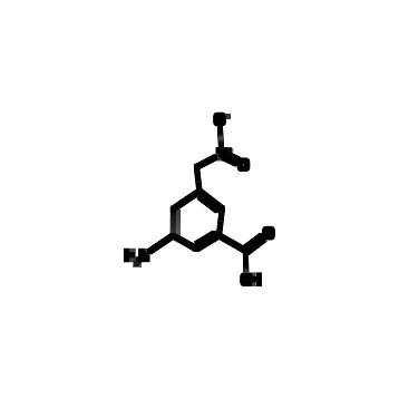 Nc1cc(C[N+](=O)[O-])cc(C(=O)O)c1